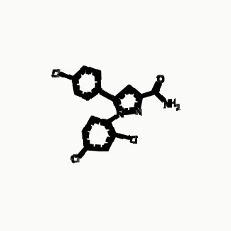 NC(=O)c1cc(-c2ccc(Cl)cc2)n(-c2ccc(Cl)cc2Cl)n1